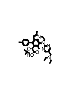 CCN(CC)Cc1cnc(N2CCn3c(C)cc4c(-c5ccc(C)cc5)c([C@H](OC(C)(C)C)C(=O)O)c(C)c2c43)nc1